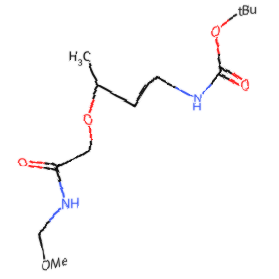 COCNC(=O)COC(C)CCNC(=O)OC(C)(C)C